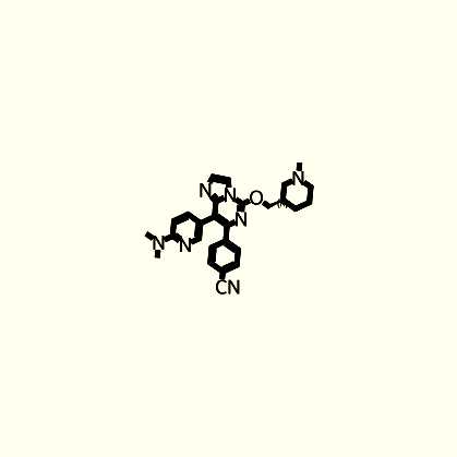 CN1CCC[C@@H](COc2nc(-c3ccc(C#N)cc3)c(-c3ccc(N(C)C)nc3)c3nccn23)C1